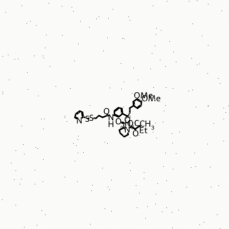 CCC(C)(C)C(=O)C(=O)N1CCCC[C@H]1C(=O)O[C@H](CCc1ccc(OC)c(OC)c1)c1cccc(NC(=O)CCCSSc2ccccn2)c1